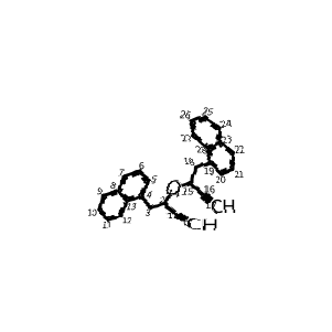 C#CC(Cc1cccc2ccccc12)OC(C#C)Cc1cccc2ccccc12